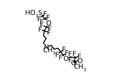 CN(CCCC(F)(F)C(F)(F)OC(F)(F)C(F)(F)S(C)(=O)=O)CCCC(F)(F)C(F)(F)OC(F)(F)C(F)(F)S(=O)(=O)O